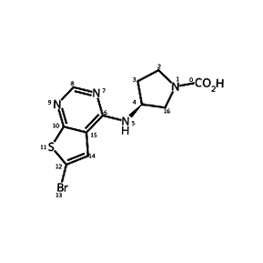 O=C(O)N1CC[C@H](Nc2ncnc3sc(Br)cc23)C1